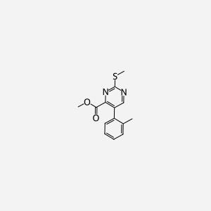 COC(=O)c1nc(SC)ncc1-c1ccccc1C